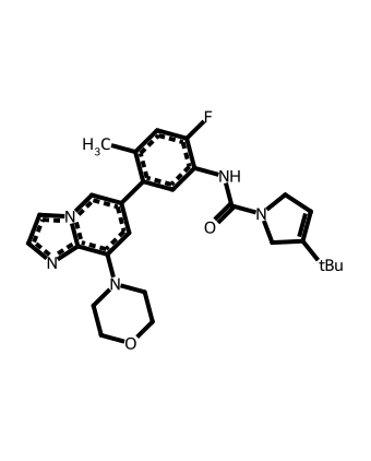 Cc1cc(F)c(NC(=O)N2CC=C(C(C)(C)C)C2)cc1-c1cc(N2CCOCC2)c2nccn2c1